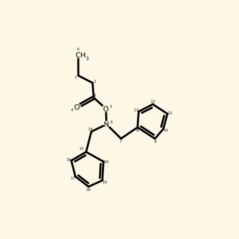 CCCC(=O)ON(Cc1ccccc1)Cc1ccccc1